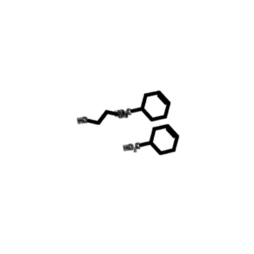 O=C(O)C1CC=CCC1.O=C(O)C1CC=CCC1.OCCO